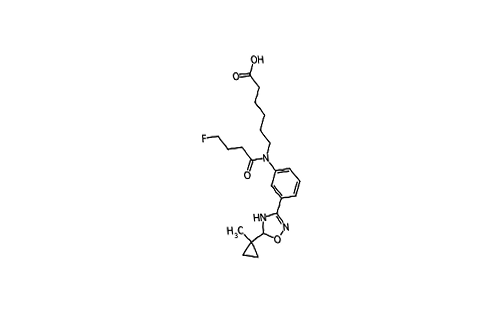 CC1(C2NC(c3cccc(N(CCCCCC(=O)O)C(=O)CCCF)c3)=NO2)CC1